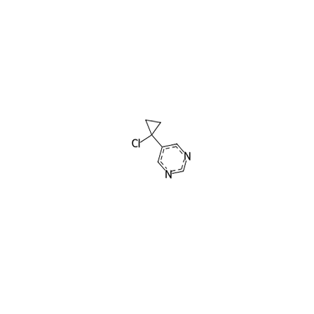 ClC1(c2cncnc2)CC1